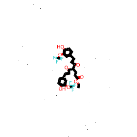 CCOC(=O)CCC(C(=O)/C=C/c1ccc(O)c(OC(F)(F)F)c1)C(=O)/C=C/c1ccc(O)c(OC(F)(F)F)c1